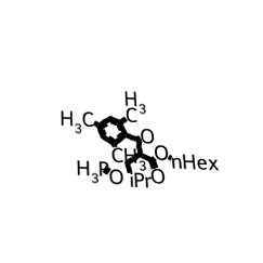 CCCCCCOC(=O)C(CC(C)C)C(=O)c1c(C)cc(C)cc1C.O=[PH3]